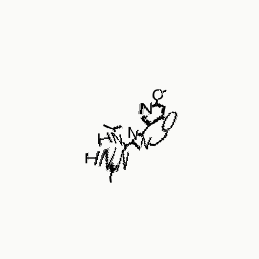 COc1cc2c(cn1)-c1nc(/C(=N/C(C)=N)NC(C)C)cn1CCO2